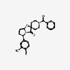 N#Cc1cc(C2CCC3OC4(CCN(C(=O)c5ccccc5)CC4)C(=O)N32)ccc1F